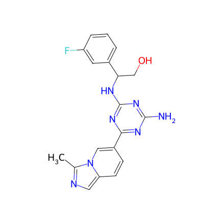 Cc1ncc2ccc(-c3nc(N)nc(NC(CO)c4cccc(F)c4)n3)cn12